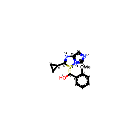 COc1ccccc1C(O)[SH]1C(C2CC2)=Nc2cncn21